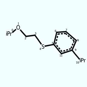 CC(C)OCCSc1cccc(C(C)C)c1